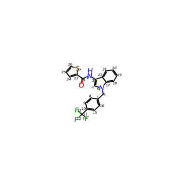 O=C(Nc1cn(Cc2ccc(C(F)(F)F)cc2)c2ccccc12)c1cccs1